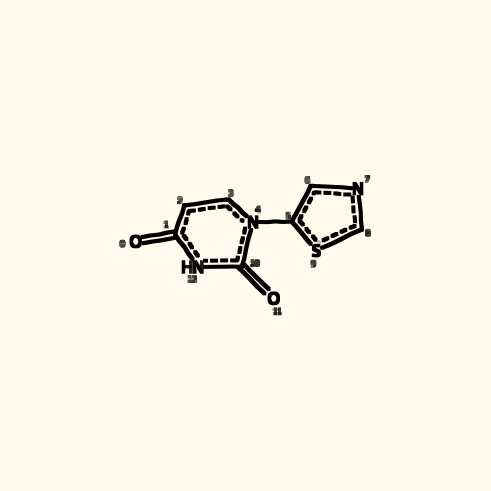 O=c1ccn(-c2cncs2)c(=O)[nH]1